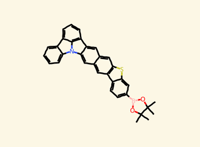 CC1(C)OB(c2ccc3c(c2)sc2cc4cc5c6cccc7c8ccccc8n(c5cc4cc23)c76)OC1(C)C